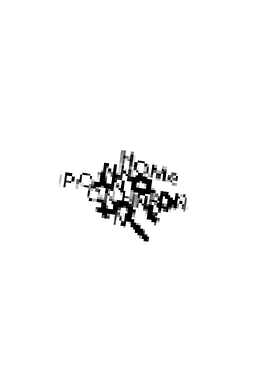 C=CC(=O)Nc1cc(Nc2ncc(C(=O)OC(C)C)c(N3CC(C)(C)c4nc(C#CC)ccc43)n2)c(OC)cc1N1CC[C@@H](N(C)C)C1